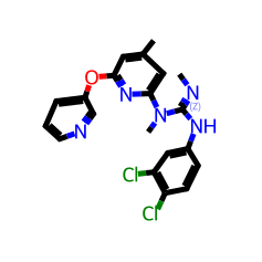 C/N=C(/Nc1ccc(Cl)c(Cl)c1)N(C)c1cc(C)cc(Oc2cccnc2)n1